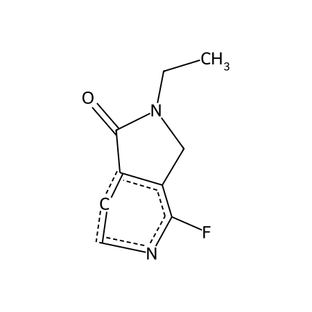 CCN1Cc2c(ccnc2F)C1=O